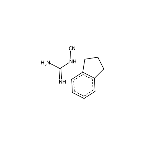 N#CNC(=N)N.c1ccc2c(c1)CCC2